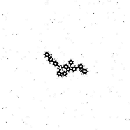 c1ccc(-c2nc(-c3ccc(-c4ccc5c(c4)oc4ccccc45)cc3)nc(-c3cccc4oc5ccc(-c6ccc7c(c6)c6ccc(-c8cccc9c8sc8ccccc89)cc6n7-c6ccccc6)cc5c34)n2)cc1